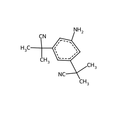 CC(C)(C#N)c1cc(N)cc(C(C)(C)C#N)c1